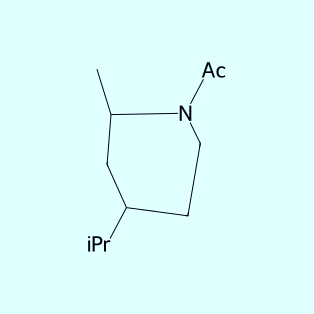 CC(=O)N1CCC(C(C)C)CC1C